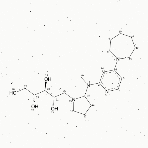 CN(c1nccc(N2CCCCCC2)n1)C1CCCN1C[C@H](O)[C@H](O)[C@H](O)CO